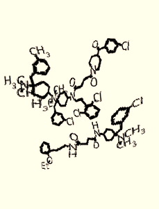 CCOc1ccccc1CCNC(=O)CCC(=O)NC1CCC(Cc2cccc(Cl)c2)(N(C)C)CC1.Cc1cccc(CC2(N(C)C)CCC([N+](C)(C)C3(Cc4cccc(Cl)c4)CCC(N(CCc4c(Cl)cccc4Cl)C(=O)CCC(=O)N4CCC(C(=O)c5ccc(Cl)cc5)CC4)CC3)CC2)c1